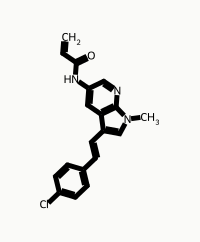 C=CC(=O)Nc1cnc2c(c1)c(C=Cc1ccc(Cl)cc1)cn2C